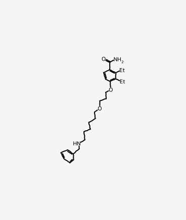 CCc1c(OCCCOCCCCCCNCc2ccccc2)ccc(C(N)=O)c1CC